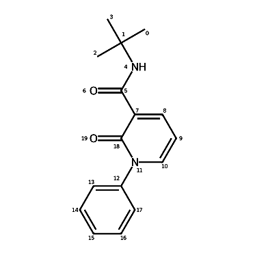 CC(C)(C)NC(=O)c1cccn(-c2ccccc2)c1=O